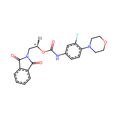 CC[C@H](CN1C(=O)c2ccccc2C1=O)OC(=O)Nc1ccc(N2CCOCC2)c(F)c1